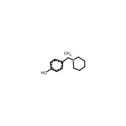 C.Oc1ccc(CN2CCCCC2)cc1